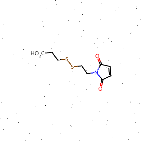 O=C(O)CCSSCCN1C(=O)C=CC1=O